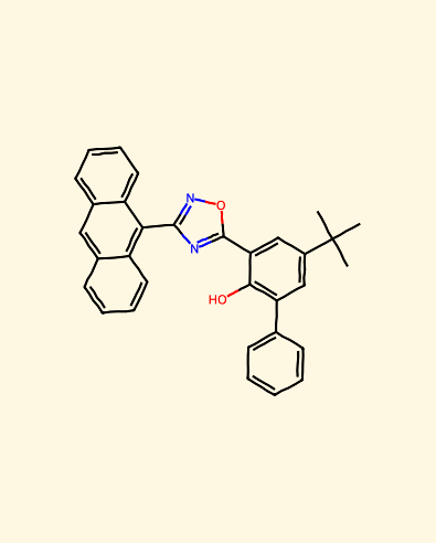 CC(C)(C)c1cc(-c2ccccc2)c(O)c(-c2nc(-c3c4ccccc4cc4ccccc34)no2)c1